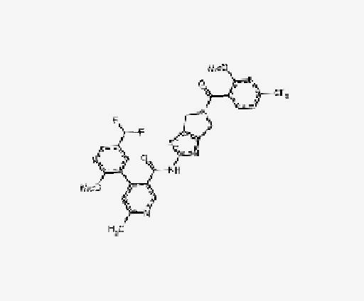 COc1nc(C(F)(F)F)ccc1C(=O)N1Cc2nc(NC(=O)c3cnc(C)cc3-c3cc(C(F)F)cnc3OC)sc2C1